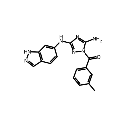 Cc1cccc(C(=O)n2nc(Nc3ccc4cn[nH]c4c3)nc2N)c1